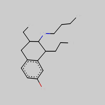 CCCCNC1C(CC)Cc2ccc(O)cc2C1CCC